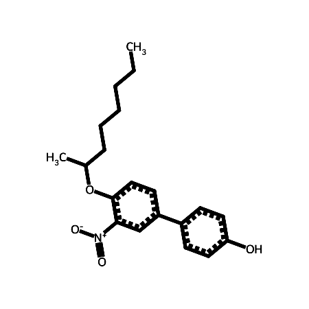 CCCCCCC(C)Oc1ccc(-c2ccc(O)cc2)cc1[N+](=O)[O-]